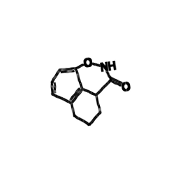 O=C1NOc2cccc3c2C1CCC3